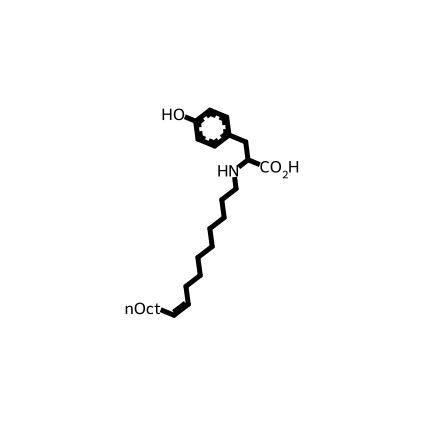 CCCCCCCC/C=C\CCCCCCCCNC(Cc1ccc(O)cc1)C(=O)O